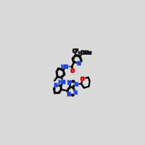 COc1cnc(C(=O)Nc2ccc(C)c(Nc3ncccc3-c3ncnc4c3ncn4C3CCCCO3)c2)cc1C(F)(F)F